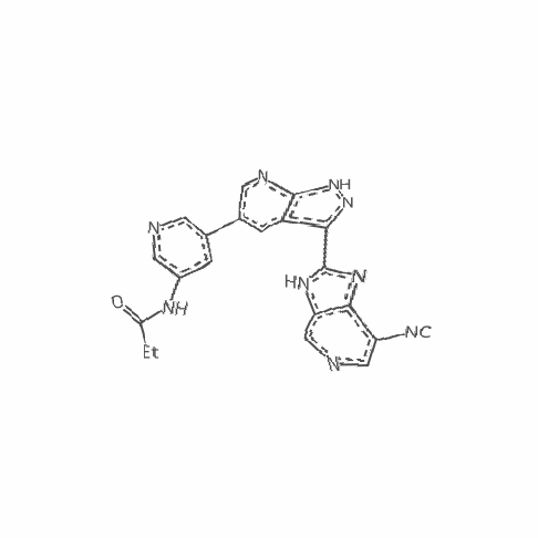 [C-]#[N+]c1cncc2[nH]c(-c3n[nH]c4ncc(-c5cncc(NC(=O)CC)c5)cc34)nc12